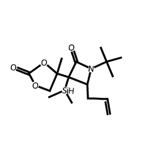 C=CCC1N(C(C)(C)C)C(=O)C1([SiH](C)C)C1(C)COC(=O)O1